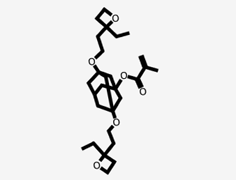 C=C(C)C(=O)OC12CC3CC(OCCC4(CC)CCO4)(CC(OCCC4(CC)CCO4)(C3)C1)C2